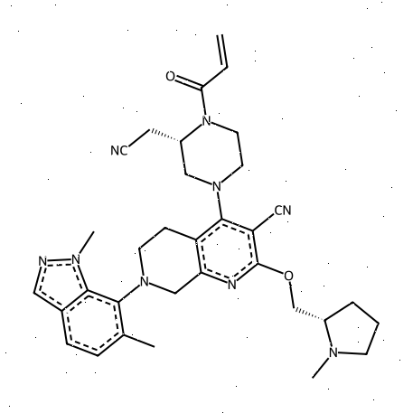 C=CC(=O)N1CCN(c2c(C#N)c(OC[C@@H]3CCCN3C)nc3c2CCN(c2c(C)ccc4cnn(C)c24)C3)C[C@@H]1CC#N